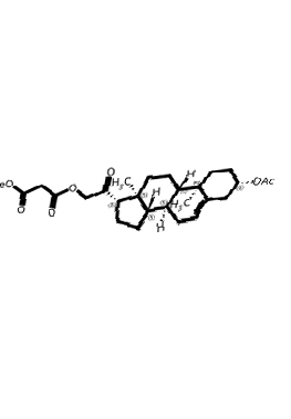 COC(=O)CC(=O)OCC(=O)[C@H]1CC[C@H]2[C@@H]3CC=C4C[C@@H](OC(C)=O)CC[C@]4(C)[C@H]3CC[C@]12C